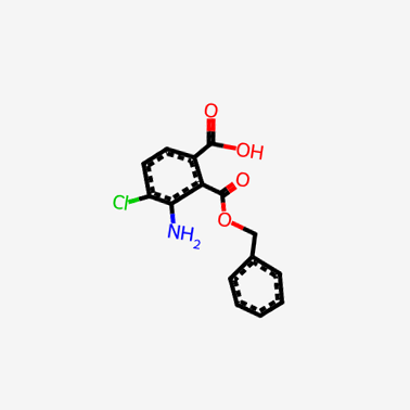 Nc1c(Cl)ccc(C(=O)O)c1C(=O)OCc1ccccc1